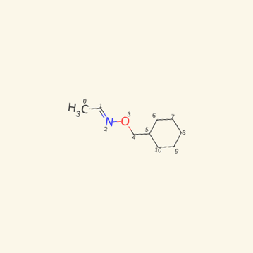 C/C=N/OCC1CCCCC1